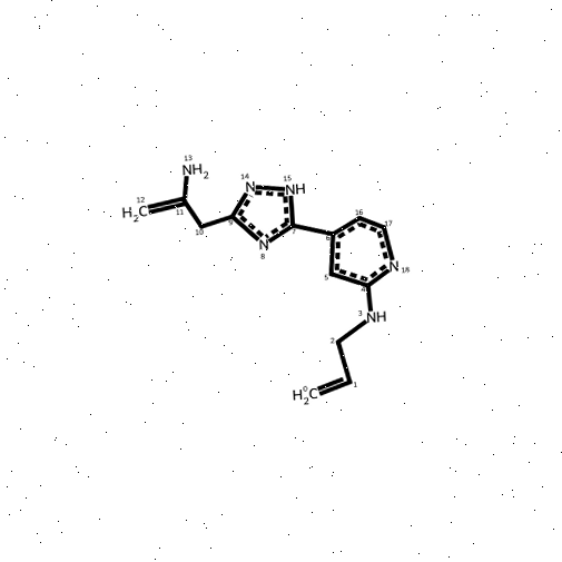 C=CCNc1cc(-c2nc(CC(=C)N)n[nH]2)ccn1